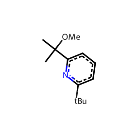 COC(C)(C)c1cccc(C(C)(C)C)n1